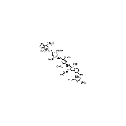 CNc1nc(NC)nc(Nc2ccc3c(O)c(N=Nc4cc(OC)c(N=Nc5cc(OC)c(N=Nc6cc(S(=O)(=O)O)c7cccc(S(=O)(=O)O)c7c6)cc5OC)cc4OC)c(SOOO)cc3c2)n1